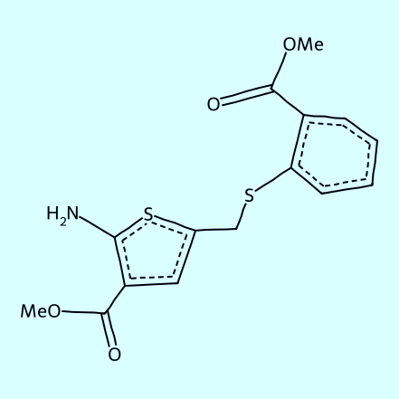 COC(=O)c1ccccc1SCc1cc(C(=O)OC)c(N)s1